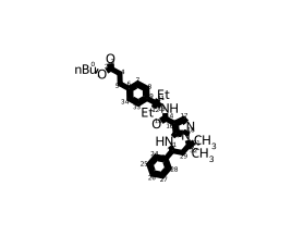 CCCCOC(=O)CCc1ccc(C(CC)(CC)NC(=O)c2cnn3c2NC(c2ccccc2)CC3(C)C)cc1